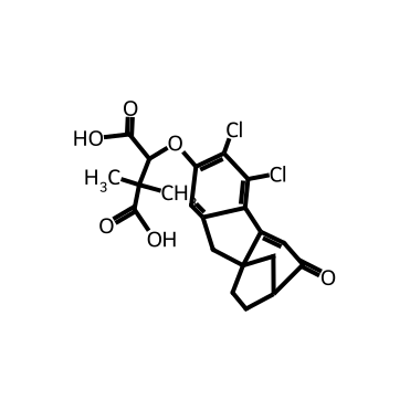 CC(C)(C(=O)O)C(Oc1cc2c(c(Cl)c1Cl)C1=CC(=O)C3CCC1(C2)C3)C(=O)O